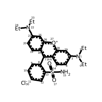 CCN(CC)c1ccc2c(-c3ccccc3S(N)(=O)=O)c3ccc(N(CC)CC)cc3[o+]c2c1.[Cl-]